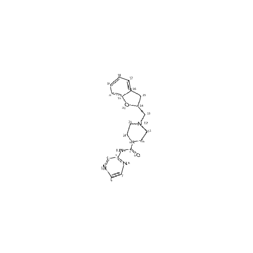 O=C(Nc1cnccn1)N1CCN(CC2Cc3ccccc3O2)CC1